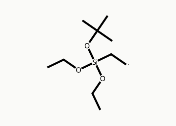 [CH2]C[Si](OCC)(OCC)OC(C)(C)C